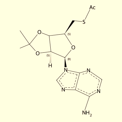 CC(=O)SC[C@H]1O[C@@H](n2cnc3c(N)ncnc32)[C@H]2OC(C)(C)OC12